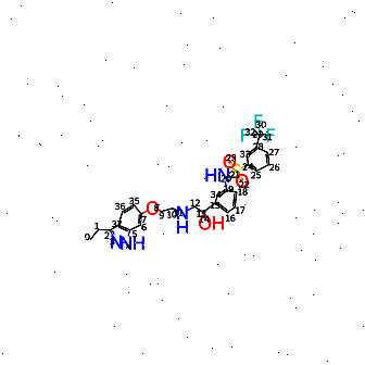 CCc1n[nH]c2cc(OCCNCC(O)c3cccc(NS(=O)(=O)c4cccc(C(F)(F)F)c4)c3)ccc12